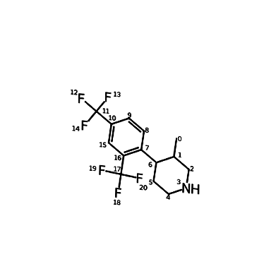 CC1CNCCC1c1ccc(C(F)(F)F)cc1C(F)(F)F